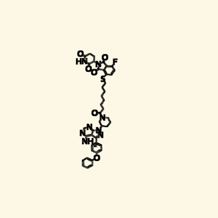 Nc1ncnc2c1c(-c1ccc(Oc3ccccc3)cc1)nn2[C@@H]1CCCN(C(=O)CCCCCCCSc2ccc(F)c3c2C(=O)N(C2CCC(=O)NC2=O)C3=O)C1